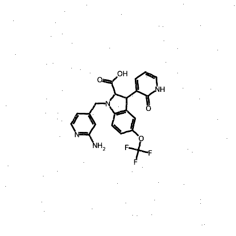 Nc1cc(CN2c3ccc(OC(F)(F)F)cc3C(c3ccc[nH]c3=O)C2C(=O)O)ccn1